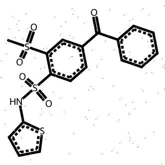 CS(=O)(=O)c1cc(C(=O)c2ccccc2)ccc1S(=O)(=O)Nc1cccs1